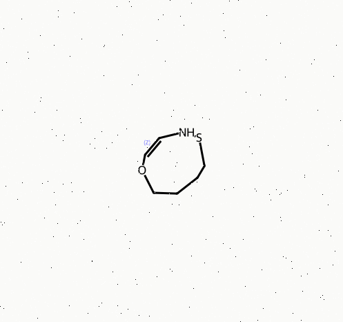 C1=C\OCCCCSN/1